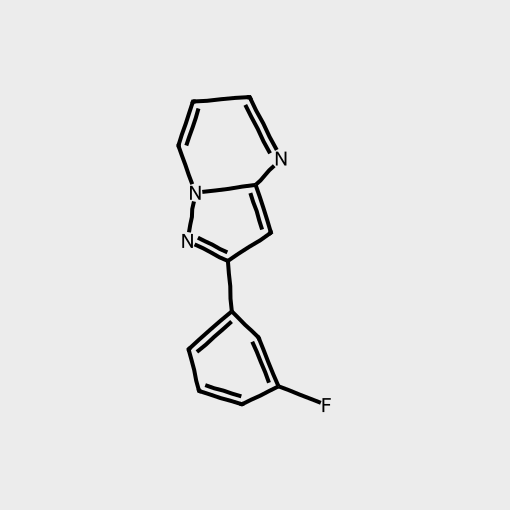 Fc1cccc(-c2cc3ncccn3n2)c1